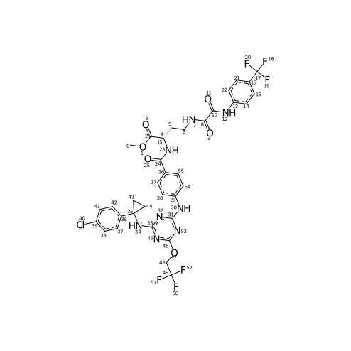 COC(=O)[C@H](CCNC(=O)C(=O)Nc1ccc(C(F)(F)F)cc1)NC(=O)c1ccc(Nc2nc(NC3(c4ccc(Cl)cc4)CC3)nc(OCC(F)(F)F)n2)cc1